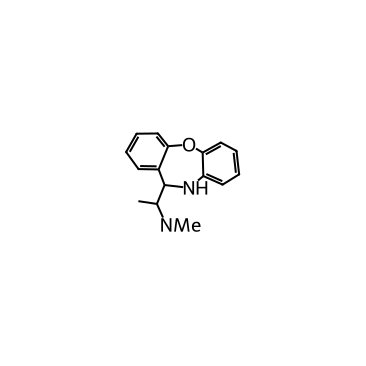 CNC(C)C1Nc2ccccc2Oc2ccccc21